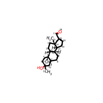 CC1(O)CC[C@@]2(C)C(CC[C@@H]3[C@H]2CC[C@]2(C)C(C=O)CC[C@@H]32)C1